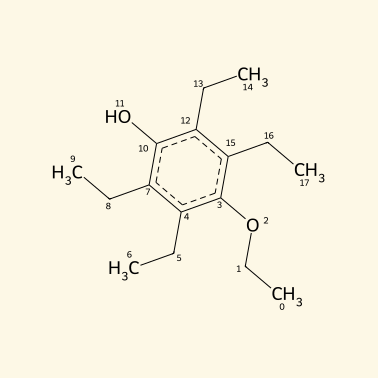 CCOc1c(CC)c(CC)c(O)c(CC)c1CC